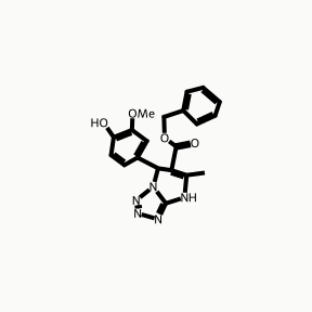 COc1cc(C2C(C(=O)OCc3ccccc3)=C(C)Nc3nnnn32)ccc1O